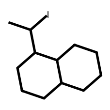 CC(I)C1CCCC2CCCCC21